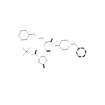 CC(C)(C)OC(=O)N1CC(=O)C[C@H]1C(=O)N[C@@H](CSCC1CCCCC1)C(=O)NC1CCN(Cc2ccccc2)CC1.Cl